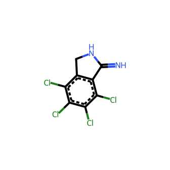 N=C1NCc2c(Cl)c(Cl)c(Cl)c(Cl)c21